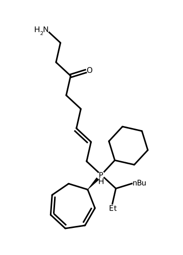 CCCCC(CC)[PH](C/C=C/CCC(=O)CCN)(C1CCCCC1)[C@H]1C=CC=C=CC1